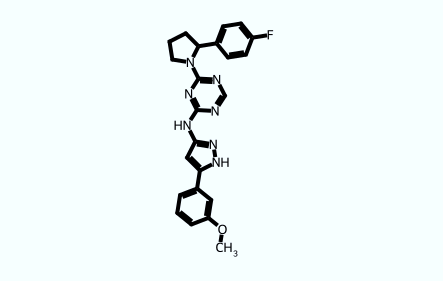 COc1cccc(-c2cc(Nc3ncnc(N4CCCC4c4ccc(F)cc4)n3)n[nH]2)c1